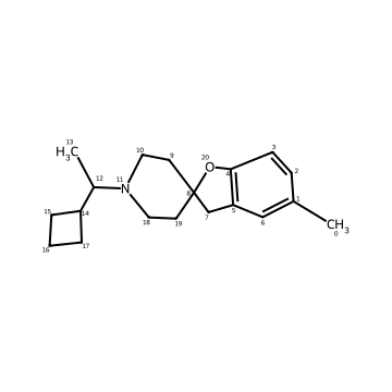 Cc1ccc2c(c1)CC1(CCN(C(C)C3CCC3)CC1)O2